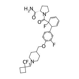 NC(=O)[C@@H]1CCCN1C(=O)C1(F)C=CC=CC1c1ccc(OCC2CCN(CC3(C(F)(F)F)CCC3)CC2)c(F)c1